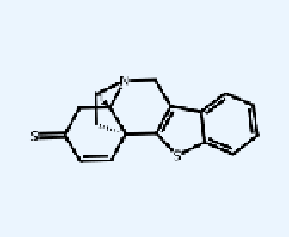 S=C1C=C[C@]23CCN(Cc4c2sc2ccccc42)[C@H]3C1